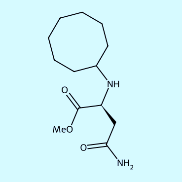 COC(=O)[C@H](CC(N)=O)NC1CCCCCCC1